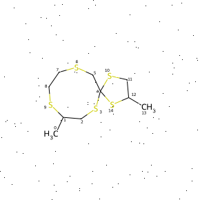 CC1CSC2(CSCCS1)SCC(C)S2